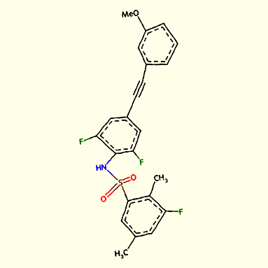 COc1cccc(C#Cc2cc(F)c(NS(=O)(=O)c3cc(C)cc(F)c3C)c(F)c2)c1